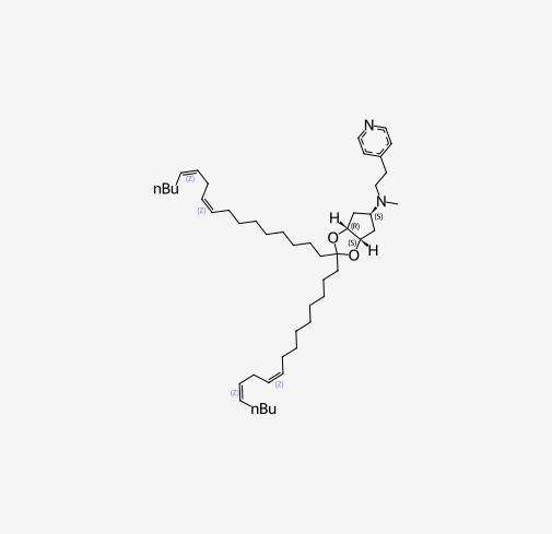 CCCC/C=C\C/C=C\CCCCCCCCC1(CCCCCCCC/C=C\C/C=C\CCCC)O[C@H]2C[C@H](N(C)CCc3ccncc3)C[C@H]2O1